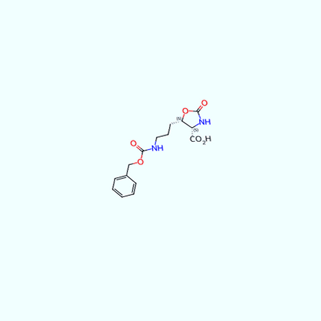 O=C(NCCC[C@@H]1OC(=O)N[C@@H]1C(=O)O)OCc1ccccc1